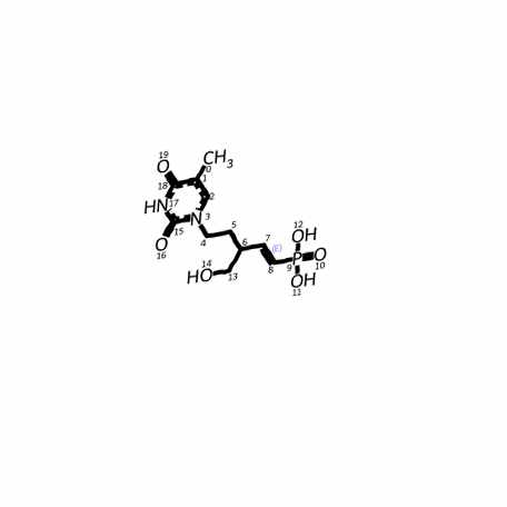 Cc1cn(CCC(/C=C/P(=O)(O)O)CO)c(=O)[nH]c1=O